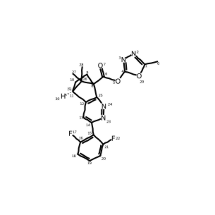 Cc1nnc(OC(=O)C23CC[C@H](c4cc(-c5c(F)cccc5F)nnc42)C3(C)C)o1